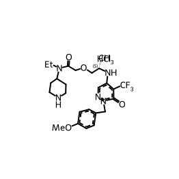 CCN(C(=O)COC[C@H](C)Nc1cnn(Cc2ccc(OC)cc2)c(=O)c1C(F)(F)F)C1CCNCC1.Cl